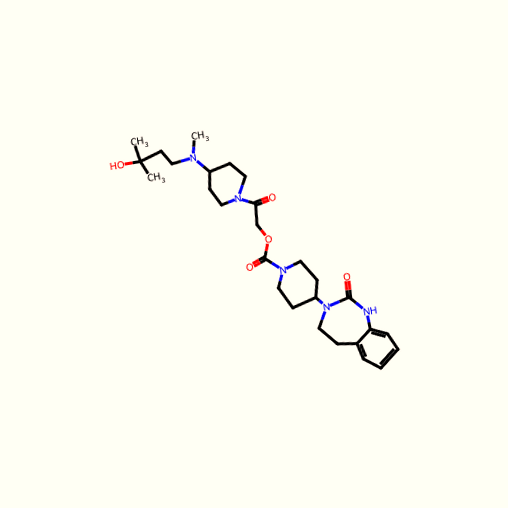 CN(CCC(C)(C)O)C1CCN(C(=O)COC(=O)N2CCC(N3CCc4ccccc4NC3=O)CC2)CC1